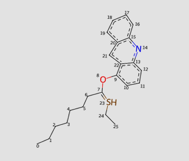 CCCCCCCC(Oc1cccc2nc3ccccc3cc12)=[SH]CC